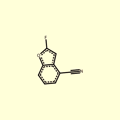 N#Cc1cccc2oc(F)cc12